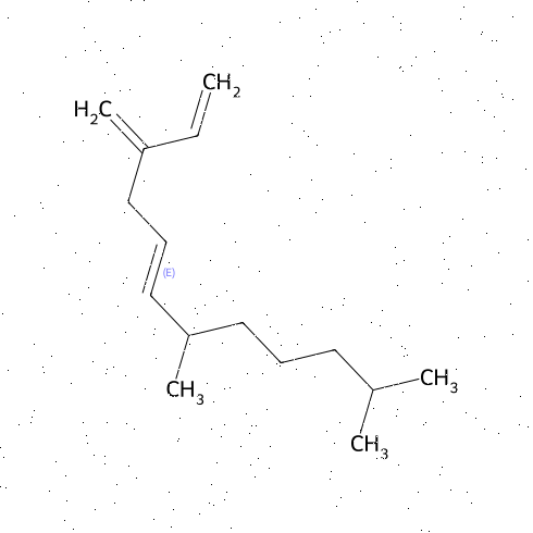 C=CC(=C)C/C=C/C(C)CCCC(C)C